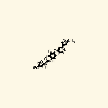 CC(C)c1cc(NC(=O)Nc2ccc(Oc3ccnc(-c4cnn(C)c4)c3)c(F)c2F)on1